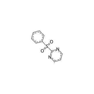 O=S(=O)(c1ccccc1)c1n[c]ccn1